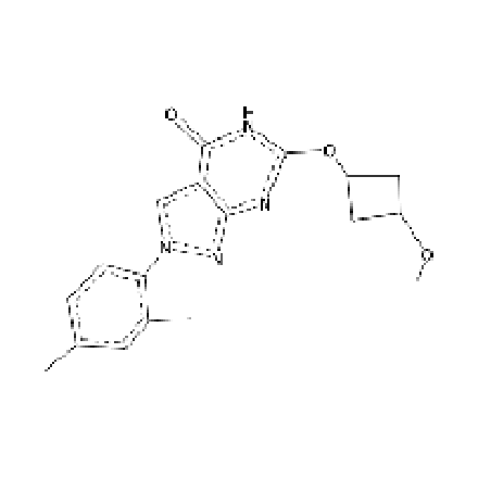 COC1CC(Oc2nc3nn(-c4ccc(C)cc4C)cc3c(=O)[nH]2)C1